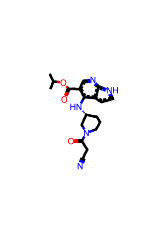 CC(C)OC(=O)c1cnc2[nH]ccc2c1N[C@@H]1CCCN(C(=O)CC#N)C1